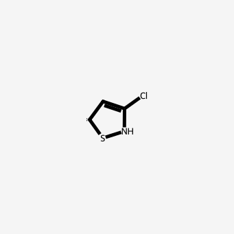 ClC1=C[C]SN1